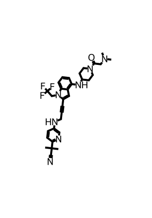 CN(C)CC(=O)N1CCC(Nc2cccc3c2cc(C#CCNc2ccc(C(C)(C)C#N)nc2)n3CC(F)(F)F)CC1